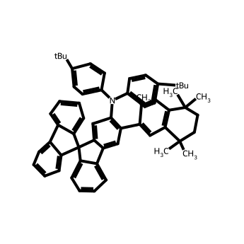 Cc1cc2c(cc1-c1cc3c(cc1N(c1ccc(C(C)(C)C)cc1)c1ccc(C(C)(C)C)cc1)C1(c4ccccc4-c4ccccc41)c1ccccc1-3)C(C)(C)CCC2(C)C